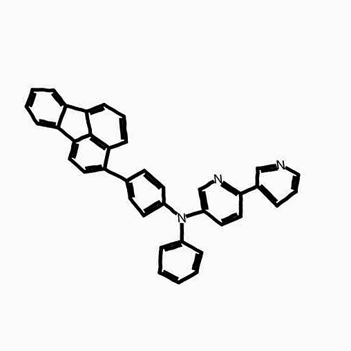 c1ccc(N(c2ccc(-c3ccc4c5c(cccc35)-c3ccccc3-4)cc2)c2ccc(-c3cccnc3)nc2)cc1